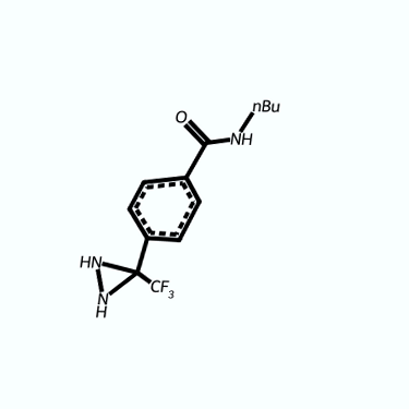 CCCCNC(=O)c1ccc(C2(C(F)(F)F)NN2)cc1